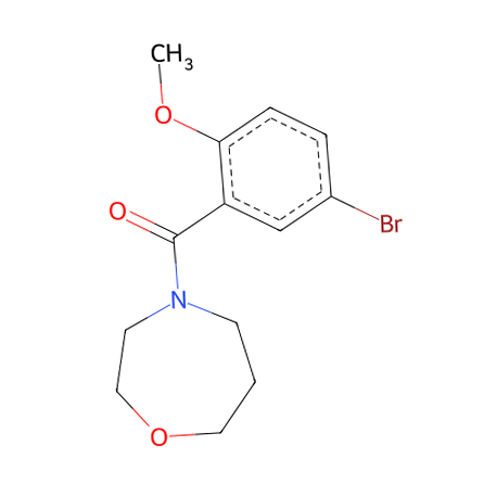 COc1ccc(Br)cc1C(=O)N1CCCOCC1